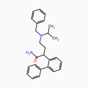 CC(C)N(CCC(C(N)=O)c1ccccc1-c1ccccc1)Cc1ccccc1